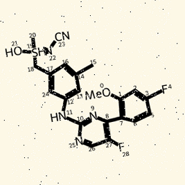 COc1cc(F)ccc1-c1nc(Nc2cc(C)cc(C[SH](C)(O)=NC#N)c2)ncc1F